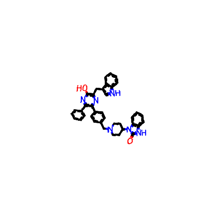 O=c1[nH]c2ccccc2n1C1CCN(Cc2ccc(-c3nc(Cc4c[nH]c5ccccc45)c(O)nc3-c3ccccc3)cc2)CC1